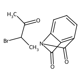 CC(=O)C(C)Br.O=C1c2cccc3c2C(=O)N13